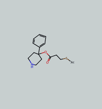 CC(=O)SCCC(=O)OC1(c2ccccc2)CCNCC1